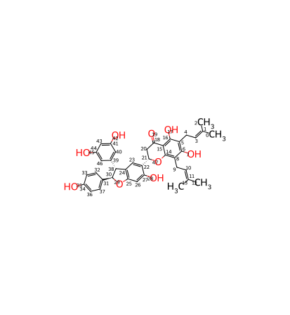 CC(C)=CCc1c(O)c(CC=C(C)C)c2c(c1O)C(=O)C[C@@H](c1cc3c(cc1O)O[C@@H](c1ccc(O)cc1)[C@@H]3c1cc(O)cc(O)c1)O2